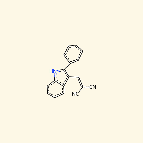 N#CC(C#N)=Cc1c(-c2ccccc2)[nH]c2ccccc12